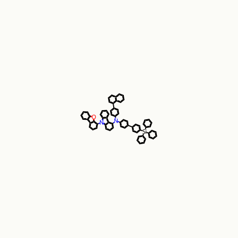 c1ccc([Si](c2ccccc2)(c2ccccc2)c2ccc(-c3ccc(N(c4ccc(-c5cccc6ccccc56)cc4)c4cccc5c4c4ccccc4n5-c4cccc5c4oc4ccccc45)cc3)cc2)cc1